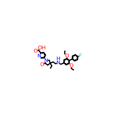 CCOc1cc(CNCCC2(CC)CC(=O)N(c3ccc(C(=O)O)nc3)C2)cc(OCC)c1-c1ccc(F)cc1